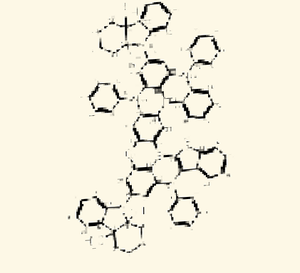 CC12CCCCC1(C)N(c1cc3c4c(c1)N(c1ccccc1)c1c(sc5ccccc15)B4c1cc4c(cc1O3)N(c1ccccc1)c1cc(N3c5ccccc5C5(C)CCCCC35C)cc3c1B4c1ccccc1N3c1ccccc1)c1ccccc12